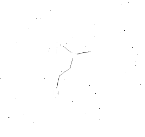 CCP(CC)CCBr.[Ag]